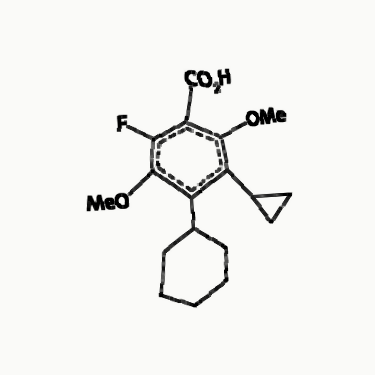 COc1c(F)c(C(=O)O)c(OC)c(C2CC2)c1C1CCCCC1